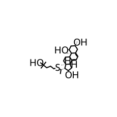 CC(SCCCC(C)(C)O)[C@H]1[C@H](O)C[C@H]2C3=CC=C4C[C@@H](O)C[C@H](O)[C@]4(C)[C@H]3CC[C@@]21C